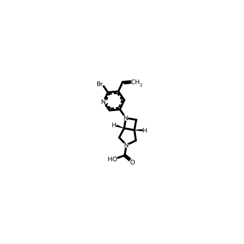 C=Cc1cc(N2C[C@@H]3CN(C(=O)O)C[C@@H]32)cnc1Br